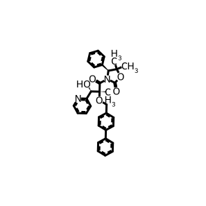 CC1(C)OC(=O)N(C(=O)[C@@](C)(OCc2ccc(-c3ccccc3)cc2)[C@@H](O)c2ccccn2)[C@H]1c1ccccc1